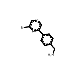 NCc1ccc(-c2cncc(Br)n2)cc1